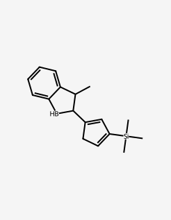 CC1c2ccccc2BC1C1=CC([Si](C)(C)C)=CC1